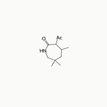 CC(=O)C1C(=O)NCC(C)(C)CC1C